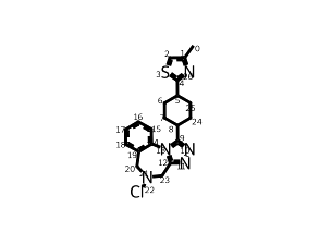 Cc1csc(C2CCC(c3nnc4n3-c3ccccc3CN(Cl)C4)CC2)n1